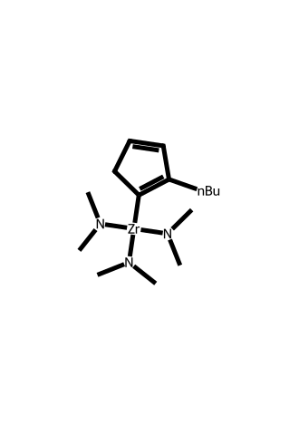 CCCCC1=[C]([Zr]([N](C)C)([N](C)C)[N](C)C)CC=C1